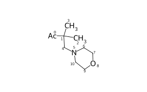 CC(=O)C(C)(C)CN1CCOCC1